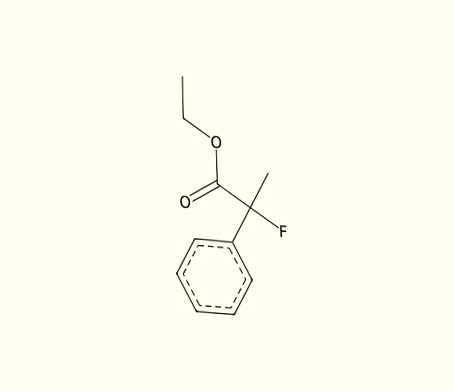 CCOC(=O)C(C)(F)c1ccccc1